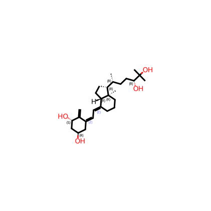 C=C1/C(=C\C=C2/CCC[C@]3(C)[C@@H]([C@H](C)CC[C@@H](O)C(C)(C)O)CC[C@@H]23)C[C@@H](O)C[C@@H]1O